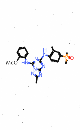 COc1ccccc1Nc1nc(Nc2ccc(P(C)(C)=O)cc2C)nc2nc(C)nn12